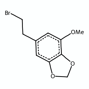 COc1cc(CCBr)cc2c1OCO2